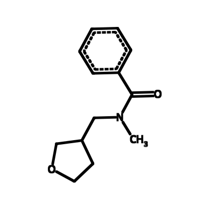 CN(CC1CCOC1)C(=O)c1ccccc1